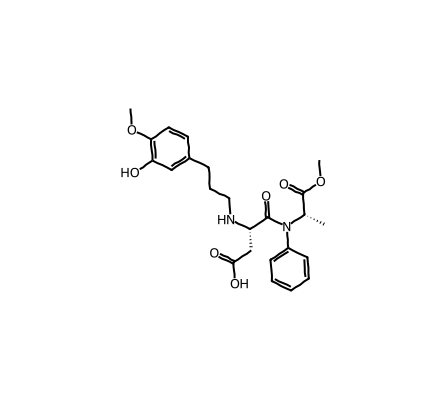 COC(=O)[C@H](C)N(C(=O)[C@H](CC(=O)O)NCCCc1ccc(OC)c(O)c1)c1ccccc1